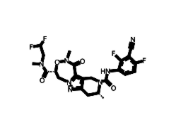 C[C@@H]1Cc2nn3c(c2CN1C(=O)Nc1ccc(F)c(C#N)c1F)C(=O)N(C)O[C@@H](C(=O)N(C)CC(F)F)C3